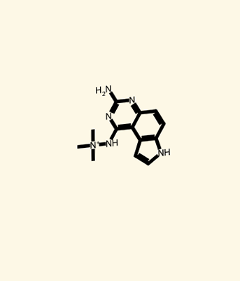 C[N+](C)(C)Nc1nc(N)nc2ccc3[nH]ccc3c12